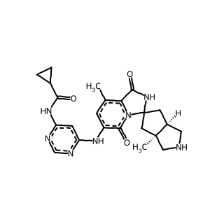 Cc1cc(Nc2cc(NC(=O)C3CC3)ncn2)c(=O)n2c1C(=O)NC21C[C@H]2CNC[C@@]2(C)C1